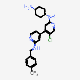 N[C@H]1CC[C@H](Nc2cc(-c3ccnc(NCc4ccc(C(F)(F)F)cc4)c3)c(Cl)cn2)CC1